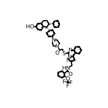 O=C(NCc1cc2c3ccccc3nc(SCC(=O)N3CCN(c4ccc([C@@H]5c6ccc(O)cc6CC[C@@H]5c5ccccc5)cc4)CC3)n2n1)c1ccccc1OC(F)(F)F